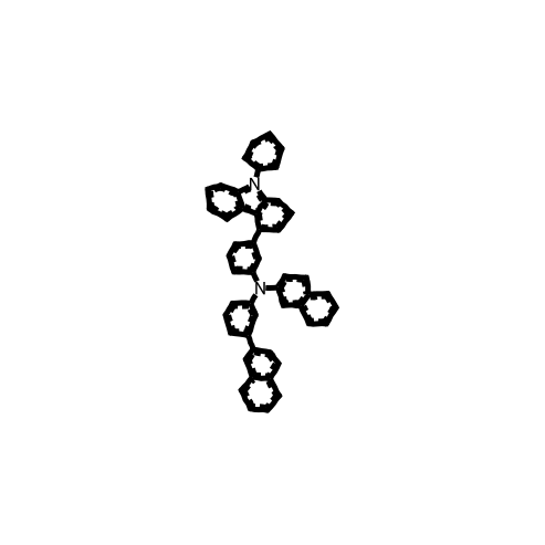 c1ccc(-n2c3ccccc3c3c(-c4cccc(N(c5cccc(-c6ccc7ccccc7c6)c5)c5ccc6ccccc6c5)c4)cccc32)cc1